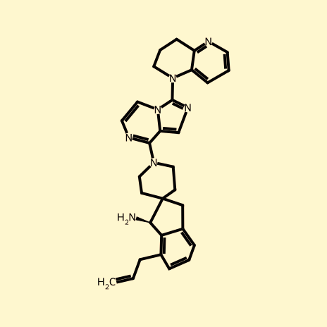 C=CCc1cccc2c1[C@@H](N)C1(CCN(c3nccn4c(N5CCCc6ncccc65)ncc34)CC1)C2